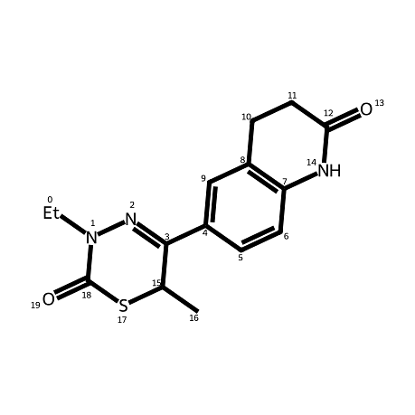 CCN1N=C(c2ccc3c(c2)CCC(=O)N3)C(C)SC1=O